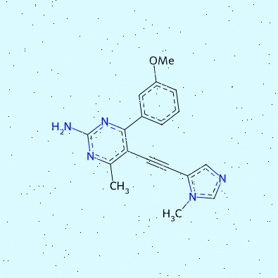 COc1cccc(-c2nc(N)nc(C)c2C#Cc2cncn2C)c1